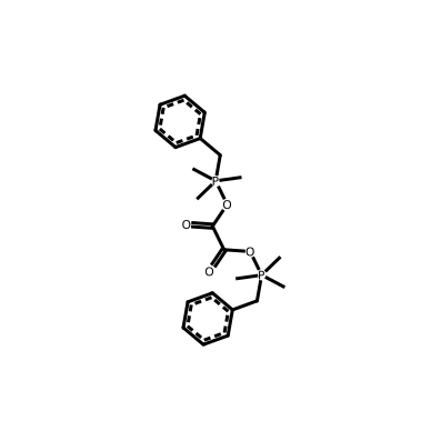 CP(C)(C)(Cc1ccccc1)OC(=O)C(=O)OP(C)(C)(C)Cc1ccccc1